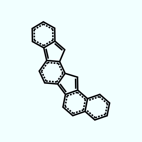 C1=c2ccccc2=c2ccc3c(c21)C=c1c=3ccc2ccccc12